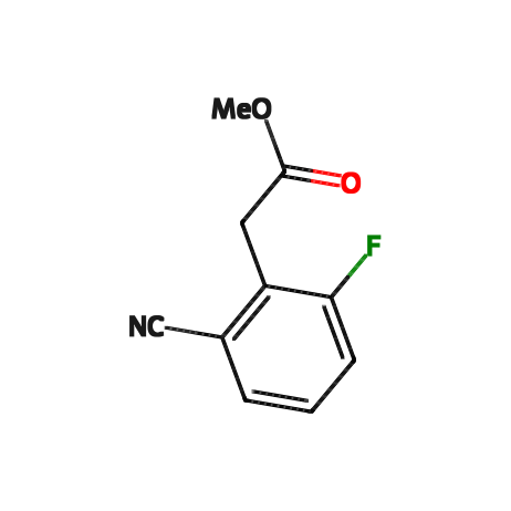 COC(=O)Cc1c(F)cccc1C#N